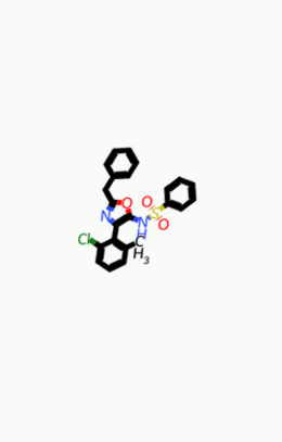 Cc1cccc(Cl)c1-c1nc(Cc2ccccc2)oc1NS(=O)(=O)c1ccccc1